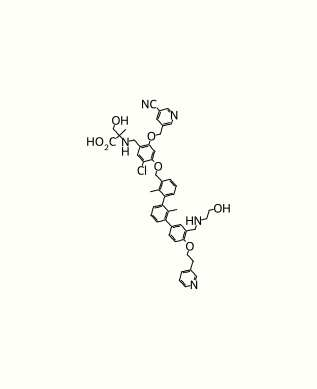 Cc1c(COc2cc(OCc3cncc(C#N)c3)c(CNC(C)(CO)C(=O)O)cc2Cl)cccc1-c1cccc(-c2ccc(OCCc3cccnc3)c(CNCCO)c2)c1C